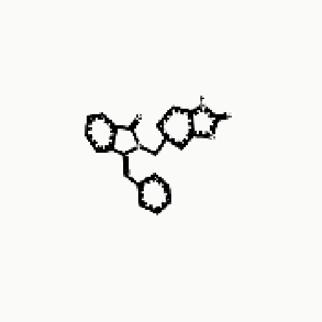 O=C1c2ccccc2/C(=C/c2ccccc2)N1Cc1ccc2[nH]c(=O)oc2c1